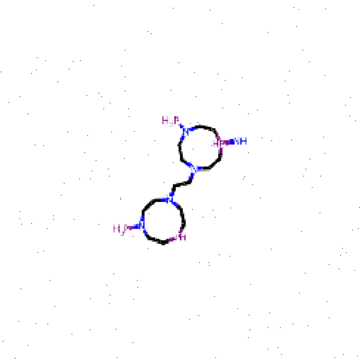 N=[PH]1CCN(P)CCN(CCN2CCPCCN(P)CC2)CC1